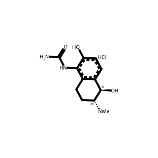 CN[C@@H]1CCc2c(ccc(O)c2NC(N)=O)[C@H]1O.Cl